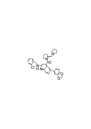 O=C(c1cc(NCc2ccccc2Cl)nc2ccc(-c3ccc4c(c3)OCO4)cc12)N1CCC[C@H]1CN1CCCC1